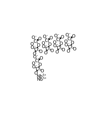 [Nb+5].[Nb+5].[O]=[Cr](=[O])([O-])[O][Cr](=[O])(=[O])[O-].[O]=[Cr](=[O])([O-])[O][Cr](=[O])(=[O])[O-].[O]=[Cr](=[O])([O-])[O][Cr](=[O])(=[O])[O-].[O]=[Cr](=[O])([O-])[O][Cr](=[O])(=[O])[O-].[O]=[Cr](=[O])([O-])[O][Cr](=[O])(=[O])[O-]